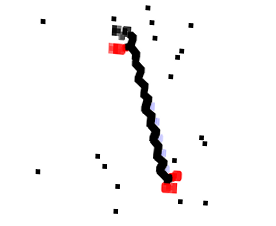 CCC(O)CCCCCC/C=C/C=C/C=C/C=C/C=C/C(=O)O